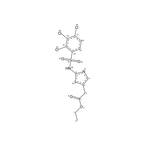 CCOC(=O)Cc1cnc(NS(=O)(=O)c2ccc(Cl)c(Cl)c2Cl)s1